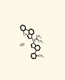 C[C](C)=[Hf+2]([CH]1C=Cc2c(-c3ccccc3C)cccc21)[CH]1C=Cc2c(-c3ccccc3C)cccc21.[Cl-].[Cl-]